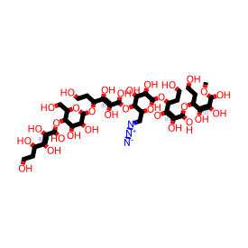 COC(O)/C(O)=C(/O)C(CCO)OC(O)/C(O)=C(/O)C(CCO)OC1OC(CN=[N+]=[N-])C(OC(O)/C(O)=C(\O)C(CCO)OC2OC(CO)C(OC(O)/C(O)=C(\O)C(O)CCO)C(O)C2O)C(O)C1O